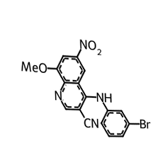 COc1cc([N+](=O)[O-])cc2c(Nc3cccc(Br)c3)c(C#N)cnc12